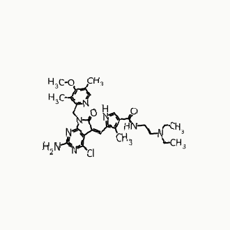 CCN(CC)CCNC(=O)c1c[nH]c(/C=C2\C(=O)N(Cc3ncc(C)c(OC)c3C)c3nc(N)nc(Cl)c32)c1C